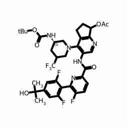 CC(=O)OC1CCc2c1ncc(NC(=O)c1ccc(F)c(-c3c(F)cc(C(C)(C)O)cc3F)n1)c2N1CC(C(F)(F)F)C[C@H](NC(=O)OC(C)(C)C)C1